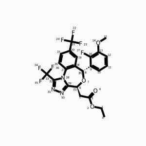 CCOC(=O)C[C@@H]1O[C@@H](c2cccc(OC)c2F)c2cc(C(F)(F)F)ccc2-n2c1nnc2C(F)(F)F